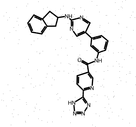 O=C(Nc1cccc(-c2cnc(NC3Cc4ccccc4C3)nc2)c1)c1ccc(-c2nnn[nH]2)nc1